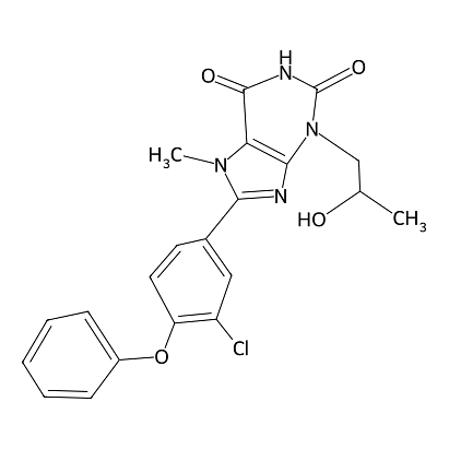 CC(O)Cn1c(=O)[nH]c(=O)c2c1nc(-c1ccc(Oc3ccccc3)c(Cl)c1)n2C